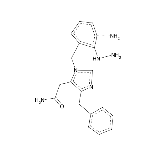 NNc1c(N)cccc1Cn1cnc(Cc2ccccc2)c1CC(N)=O